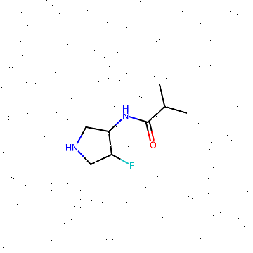 CC(C)C(=O)NC1CNCC1F